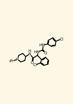 CC(C)N1CCC(NC(=O)C(NC(=O)Nc2ccc(Cl)cc2)c2ccccc2Cl)CC1